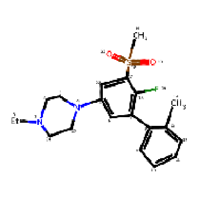 CCN1CCN(c2cc(-c3ccccc3C)c(F)c(S(C)(=O)=O)c2)CC1